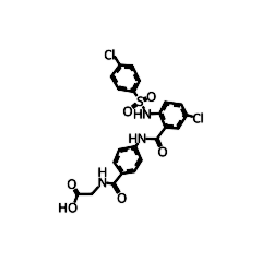 O=C(O)CNC(=O)c1ccc(NC(=O)c2cc(Cl)ccc2NS(=O)(=O)c2ccc(Cl)cc2)cc1